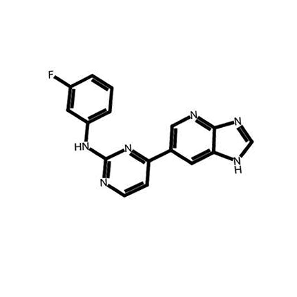 Fc1cccc(Nc2nccc(-c3cnc4nc[nH]c4c3)n2)c1